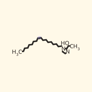 CCCCCCCC/C=C\CCCCCCCCN1CCN=C1C(C)O